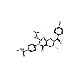 CNC(=O)c1ccc(-n2c(NC(C)C)nc3c(c2=O)C[C@@H](C)N(C(=O)c2ccc(Br)cc2)C3)cc1